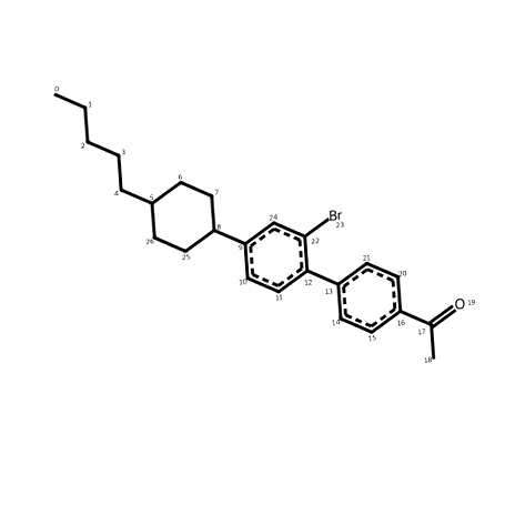 CCCCCC1CCC(c2ccc(-c3ccc(C(C)=O)cc3)c(Br)c2)CC1